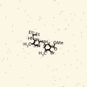 CCC(CC)Nc1nc(Nc2cc(C)c(Br)c(C(=O)OC)c2)ncc1C